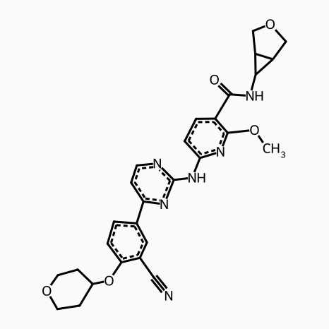 COc1nc(Nc2nccc(-c3ccc(OC4CCOCC4)c(C#N)c3)n2)ccc1C(=O)NC1C2COCC21